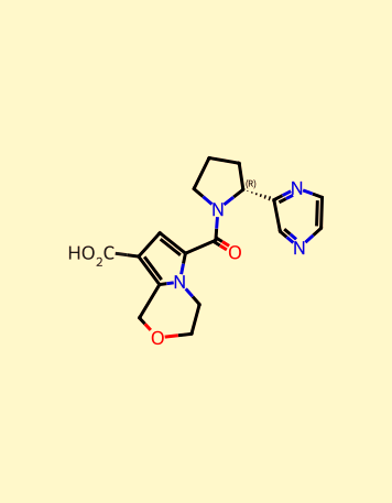 O=C(O)c1cc(C(=O)N2CCC[C@@H]2c2cnccn2)n2c1COCC2